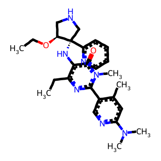 CCO[C@H]1CNC[C@@]1(Nc1c(CC)nc(-c2cnc(N(C)C)cc2C)n(C)c1=O)c1ccccn1